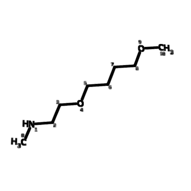 CNCCOCCCCOC